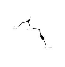 CC(=O)CC(=O)OCC#CO